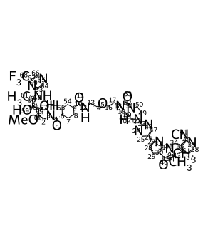 CO[C@H](CNC(=O)[C@H]1CC[C@H](C(=O)NCCOCCN2C[C@@H]3CN(c4ncc(-c5ccc6c(n5)N(Cc5cccnc5C#N)C(C)(C)C6=O)cn4)CCN3C2=O)CC1)[C@H](O)[C@H](O)[C@H](C)Nc1cncc(C(F)(F)F)n1